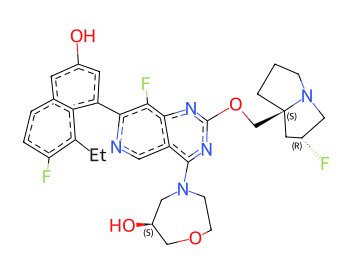 CCc1c(F)ccc2cc(O)cc(-c3ncc4c(N5CCOC[C@@H](O)C5)nc(OC[C@@]56CCCN5C[C@H](F)C6)nc4c3F)c12